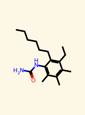 CCCCCCc1c(CC)c(C)c(C)c(C)c1NC(N)=O